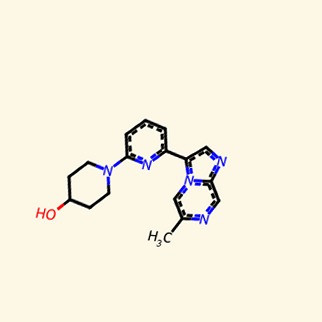 Cc1cn2c(-c3cccc(N4CCC(O)CC4)n3)cnc2cn1